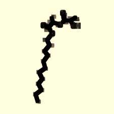 CCCCCCCCCCCCOC(=O)C(C)OC(=O)C(C)O